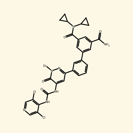 CCn1nc(-c2cccc(-c3cc(C(N)=O)cc(C(=O)N(C4CC4)C4CC4)c3)c2)cc(NC(=O)Nc2c(Cl)cncc2Cl)c1=O